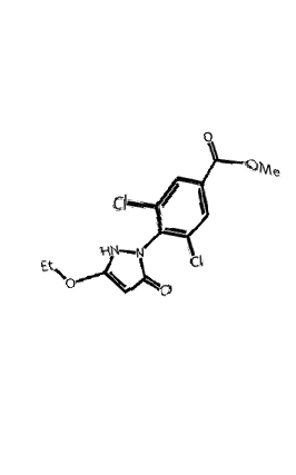 CCOc1cc(=O)n(-c2c(Cl)cc(C(=O)OC)cc2Cl)[nH]1